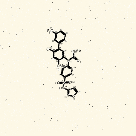 CNC(=O)N(c1ccc(S(=O)(=O)Nc2ccon2)cn1)c1cc(-c2cccc(C(F)(F)F)c2)c(Cl)cc1OC